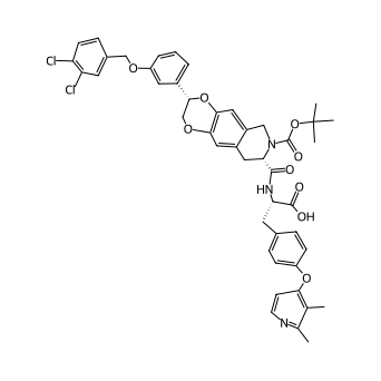 Cc1nccc(Oc2ccc(C[C@H](NC(=O)[C@@H]3Cc4cc5c(cc4CN3C(=O)OC(C)(C)C)O[C@@H](c3cccc(OCc4ccc(Cl)c(Cl)c4)c3)CO5)C(=O)O)cc2)c1C